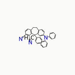 CC1(c2ccccc2)c2cc(N(c3ccccc3)c3ccccc3)ccc2CCc2ccc(C#N)c(C#N)c21